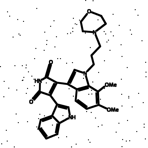 COc1ccc2c(C3=C(c4c[nH]c5ccccc45)C(=O)NC3=O)cn(CCCN3CCOCC3)c2c1OC